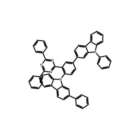 c1ccc(-c2ccc3c4ccccc4n(-c4ccc(-c5ccc6c7ccccc7n(-c7ccccc7)c6c5)cc4-c4nc(-c5ccccc5)nc(-c5ccccc5)n4)c3c2)cc1